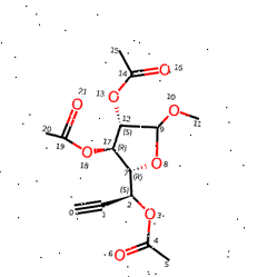 C#C[C@H](OC(C)=O)[C@H]1OC(OC)[C@@H](OC(C)=O)[C@@H]1OC(C)=O